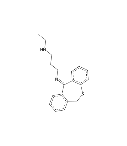 CCNCCCN=C1c2ccccc2CSc2ccccc21